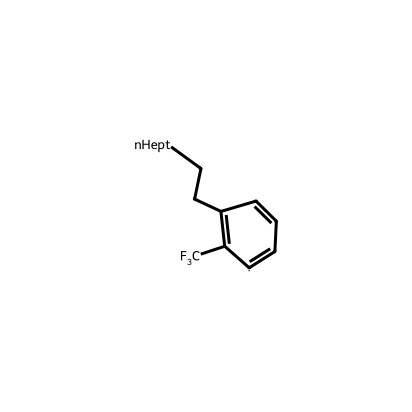 CCCCCCCCCc1ccc[c]c1C(F)(F)F